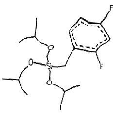 CC(C)O[Si](Cc1ccc(F)cc1F)(OC(C)C)OC(C)C